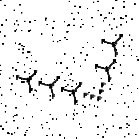 F[S+](F)F.F[S+](F)F.F[S+](F)F.F[S+](F)F.F[S+](F)F.[F-].[F-].[F-].[F-].[F-]